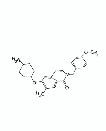 COc1ccc(Cn2ccc3cc(OC4CCC(N)CC4)c(C)cc3c2=O)cc1